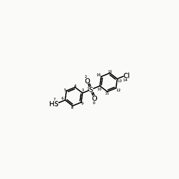 O=S(=O)(c1ccc(S)cc1)c1ccc(Cl)cc1